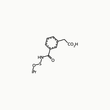 CC(C)OSNC(=O)c1cccc(CC(=O)O)c1